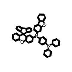 c1ccc(N(c2ccccc2)c2ccc(N(c3ccc4c(c3)C3(c5ccccc5O4)c4ccccc4-c4ccccc43)c3ccc4c(c3)sc3ccccc34)cc2)cc1